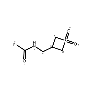 CC(C)C(=O)NCC1CS(=O)(=O)C1